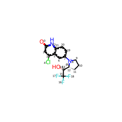 O=c1cc(Cl)c2cc(N3CCC[C@@H]3[C@@H](O)C(F)(F)F)ccc2[nH]1